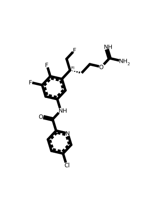 N=C(N)OCC[C@@H](CF)c1cc(NC(=O)c2ccc(Cl)cn2)cc(F)c1F